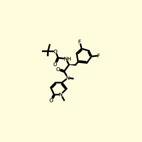 CN(C(=O)[C@H](Cc1cc(F)cc(F)c1)NC(=O)OC(C)(C)C)c1ccc(=O)n(C)c1